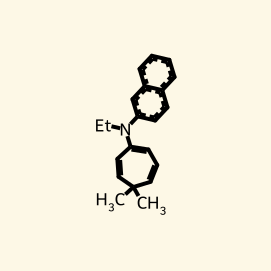 CCN(C1=CC=CC(C)(C)C=C1)c1ccc2ccccc2c1